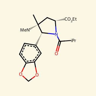 CCOC(=O)[C@H]1C[C@@](C)(NC)[C@@H](c2ccc3c(c2)OCO3)N1C(=O)C(C)C